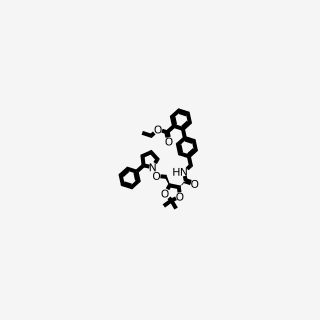 CCOC(=O)c1ccccc1-c1ccc(CNC(=O)[C@@H]2OC(C)(C)O[C@H]2CON2CCCC2c2ccccc2)cc1